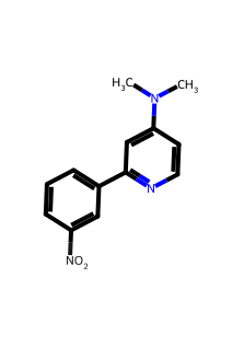 CN(C)c1ccnc(-c2cccc([N+](=O)[O-])c2)c1